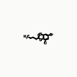 CCC[CH]C(=O)Oc1c(Cl)cc(Br)cc1Cl